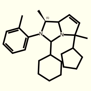 Cc1ccccc1N1C(C2CCCCC2)N2C(C=CC2(C)C2CCCC2)[C@@H]1C